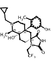 Cc1ccc(O)cc1[C@]12CCN(CC3CC3)[C@H](C)[C@]1(O)CC[C@]1(C2)C(=O)NC(=O)N1CC(F)(F)F